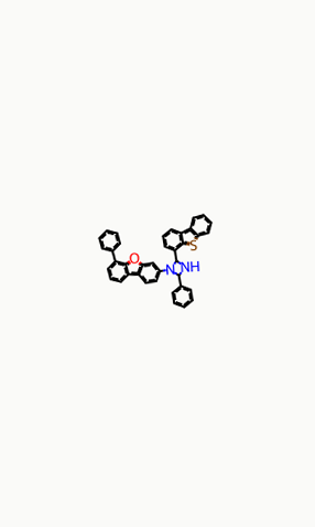 c1ccc(-c2cccc3c2oc2cc(N4C(c5ccccc5)NC4c4cccc5c4sc4ccccc45)ccc23)cc1